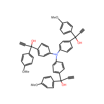 C#CC(O)(c1ccc(OC)cc1)c1ccc(N(c2ccc(C(O)(C#C)c3ccc(OC)cc3)cc2)c2ccc(C(O)(C#C)c3ccc(OC)cc3)cc2)cc1